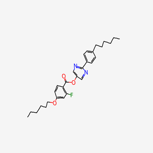 CCCCCCOc1ccc(C(=O)Oc2cnc(-c3ccc(CCCCCC)cc3)nc2)c(F)c1